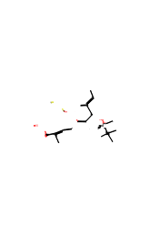 C/C=C(\C)[C@H](O[Si](C)(C)C(C)(C)C)[C@@H](C)[C@@H](C/C=C(\C)C(=O)OC)OCSC